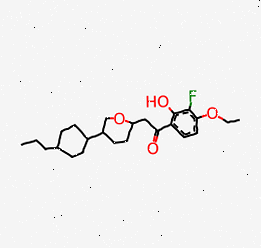 CCCC1CCC(C2CCC(CC(=O)c3ccc(OCC)c(F)c3O)OC2)CC1